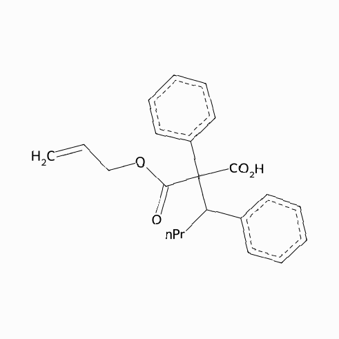 C=CCOC(=O)C(C(=O)O)(c1ccccc1)C(CCC)c1ccccc1